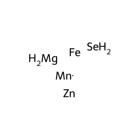 [Fe].[MgH2].[Mn].[SeH2].[Zn]